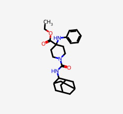 CCOC(=O)C1(Nc2ccccc2)CCN(C(=O)NC2C3CC4CC(C3)CC2C4)CC1